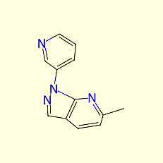 Cc1ccc2cnn(-c3cccnc3)c2n1